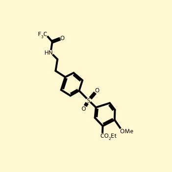 CCOC(=O)c1cc(S(=O)(=O)c2ccc(CCNC(=O)C(F)(F)F)cc2)ccc1OC